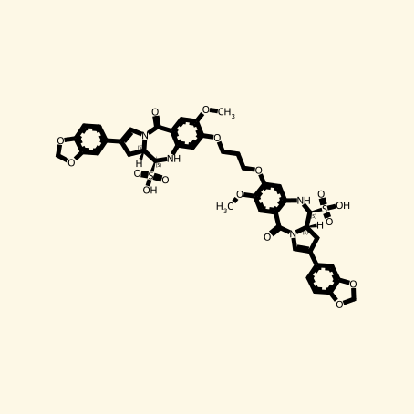 COc1cc2c(cc1OCCCOc1cc3c(cc1OC)C(=O)N1C=C(c4ccc5c(c4)OCO5)C[C@H]1[C@H](S(=O)(=O)O)N3)N[C@@H](S(=O)(=O)O)[C@@H]1CC(c3ccc4c(c3)OCO4)=CN1C2=O